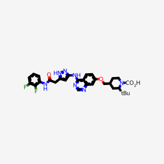 CC(C)(C)C1CC(COc2ccc3c(Nc4cc(CC(=O)Nc5cccc(F)c5F)[nH]n4)ncnc3c2)CCN1C(=O)O